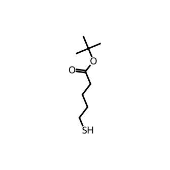 CC(C)(C)OC(=O)CCCCS